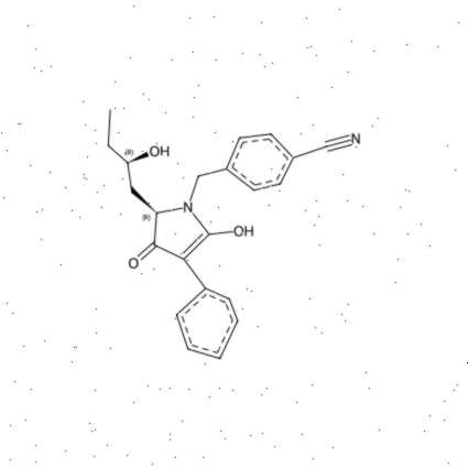 CC[C@@H](O)C[C@@H]1C(=O)C(c2ccccc2)=C(O)N1Cc1ccc(C#N)cc1